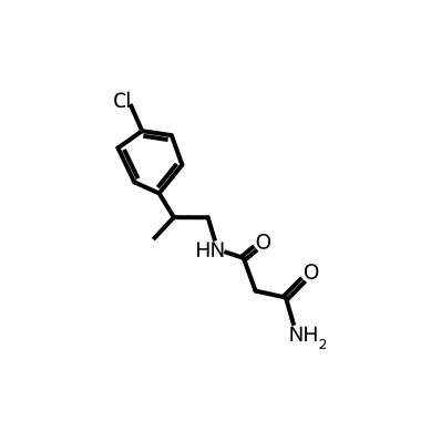 CC(CNC(=O)CC(N)=O)c1ccc(Cl)cc1